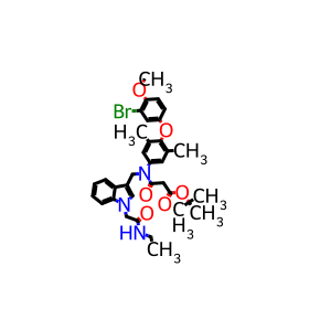 CCNC(=O)Cn1cc(CN(C(=O)CC(=O)OC(C)(C)C)c2cc(C)c(Oc3ccc(OC)c(Br)c3)c(C)c2)c2ccccc21